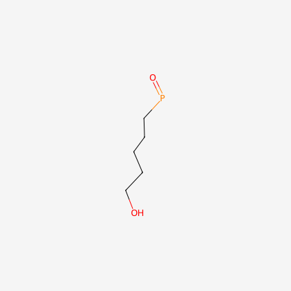 O=PCCCCCO